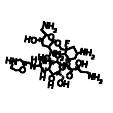 N=C(NC[C@@H]1CNCCO1)NC1C(O)[C@@H](CO)OC(OC2[C@H](NC(=O)[C@@H](O)CCN)CC(N)CC2(F)CO[C@H]2OC(CN)[C@@H](O)CC2N)[C@@H]1O